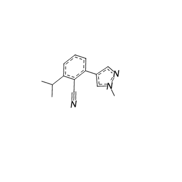 CC(C)c1cccc(-c2cnn(C)c2)c1C#N